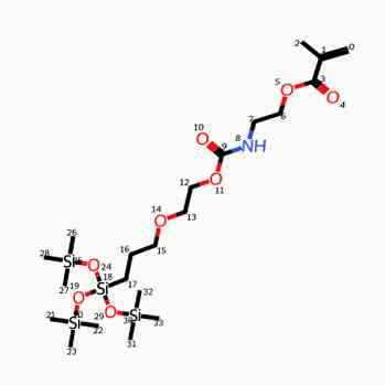 C=C(C)C(=O)OCCNC(=O)OCCOCCC[Si](O[Si](C)(C)C)(O[Si](C)(C)C)O[Si](C)(C)C